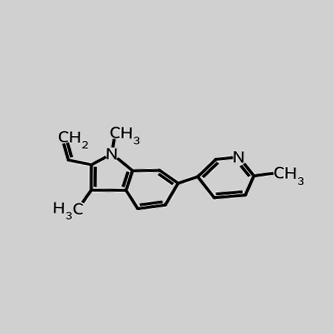 C=Cc1c(C)c2ccc(-c3ccc(C)nc3)cc2n1C